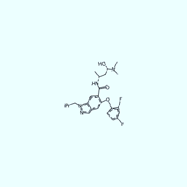 CC(C)Cn1ncc2cc(Oc3ccc(F)cc3F)c(C(=O)NC(C)CC(O)N(C)C)cc21